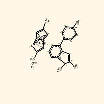 CC1=CC2=C3C(C)=C(C2=N1)[Si]3(C)C.CCCc1ccc(-c2cccc3c2C=C(C)[CH]3[Zr+2])cc1.[Cl-].[Cl-]